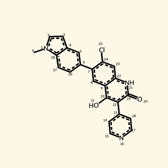 Cn1ccc2cc(-c3cc4c(O)c(-c5ccncc5)c(=O)[nH]c4cc3Cl)ccc21